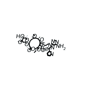 CC[C@H]1OC(=O)[C@H](C)[C@@H](O[C@H]2C[C@@](C)(OC)[C@@H](O)[C@H](C)O2)[C@H](C)C[C@](C)(OC)C[C@@H](C)C(=O)C(C)[C@H]2[C@H](SCCn3c(Nc4cccnc4)nc4c(N)ncnc43)C(=O)O[C@]12C